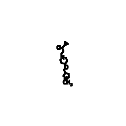 CN1CCC(COC2CCN(CCC(=O)C3CC3)CC2)C1